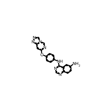 Nc1ccc2ncnc(Nc3ccc(Oc4cc5nncn5cn4)cc3)c2c1